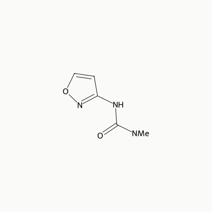 CNC(=O)Nc1ccon1